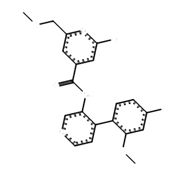 COCc1cc(C(=O)Nc2cnccc2-c2ccc(F)cc2OC)cc(Cl)n1